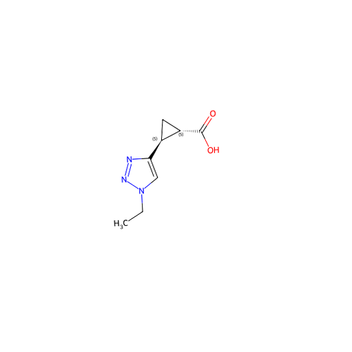 CCn1cc([C@H]2C[C@@H]2C(=O)O)nn1